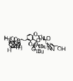 CC(C)(C)OC(=O)Oc1c(CCB2O[C@@H]3C[C@@H]4C[C@@H](C4(C)C)[C@]3(C)O2)ccc(OC2CN(C(=O)Cn3cc(CO)nn3)C2)c1C(=O)OC(C)(C)C